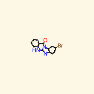 O=c1c2ccccc2[nH]c2nc3ccc(Br)cc3n12